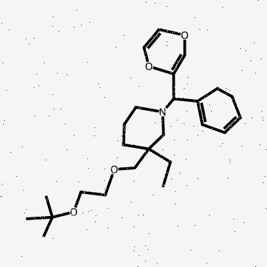 CCC1(COCCOC(C)(C)C)CCCN(C(C2=CC=CCC2)C2=COC=CO2)C1